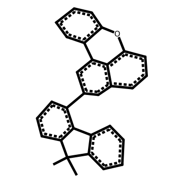 CC1(C)c2ccccc2-c2c(-c3cc4c5c(cccc5c3)Oc3ccccc3-4)cccc21